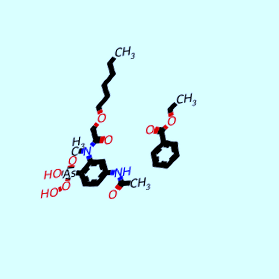 CCCCCCOCC(=O)N(C)c1cc(NC(C)=O)ccc1[As](=O)(O)OO.CCOC(=O)c1ccccc1